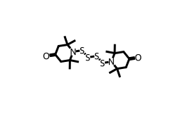 CC1(C)CC(=O)CC(C)(C)N1SSSSN1C(C)(C)CC(=O)CC1(C)C